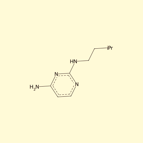 CC(C)CCNc1nccc(N)n1